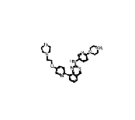 c1cc(-c2ccc(OCCN3CCOCC3)cn2)c2nc(Nc3ccc(N4CCNCC4)nc3)ncc2c1